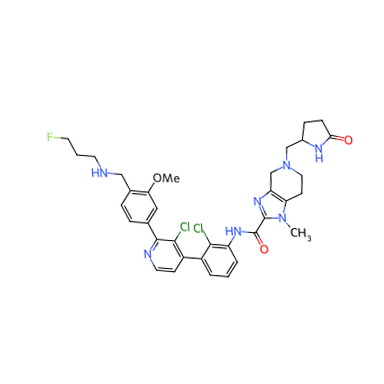 COc1cc(-c2nccc(-c3cccc(NC(=O)c4nc5c(n4C)CCN(CC4CCC(=O)N4)C5)c3Cl)c2Cl)ccc1CNCCCF